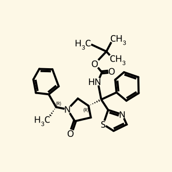 C[C@H](c1ccccc1)N1C[C@H](C(NC(=O)OC(C)(C)C)(c2ccccc2)c2nccs2)CC1=O